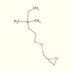 CC[Si](C)(C)CCCOCC1CO1